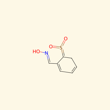 O=S(=O)=C1CC=CC=C1C=NO